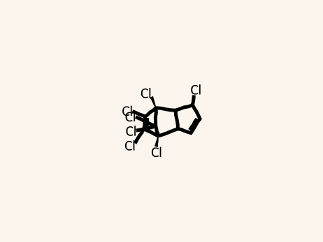 ClC1=C(Cl)[C@]2(Cl)C3C(Cl)C=CC3[C@@]1(Cl)C2(Cl)Cl